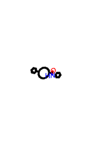 O=C(Nc1ccccc1)C1CCCCCCC(c2ccccc2)CCCCC1